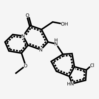 COc1cccn2c(=O)c(CO)c(Nc3ccc4[nH]cc(Cl)c4c3)nc12